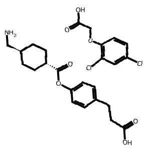 NC[C@H]1CC[C@H](C(=O)Oc2ccc(CCC(=O)O)cc2)CC1.O=C(O)COc1ccc(Cl)cc1Cl